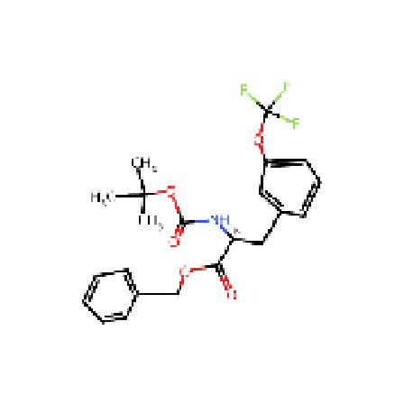 CC(C)(C)OC(=O)N[C@@H](Cc1cccc(OC(F)(F)F)c1)C(=O)OCc1ccccc1